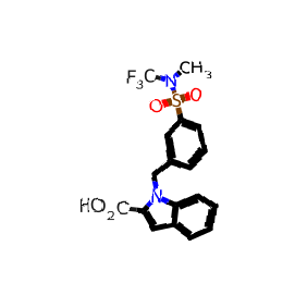 CN(C(F)(F)F)S(=O)(=O)c1cccc(Cn2c(C(=O)O)cc3ccccc32)c1